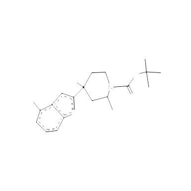 CC1CC(O)(c2cc3c(F)cccc3s2)CCN1C(=O)OC(C)(C)C